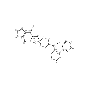 O=C([C@@H]1CCNC[C@H]1c1ccccc1)N1CCC(O)(Cn2cnc3sccc3c2=O)CC1